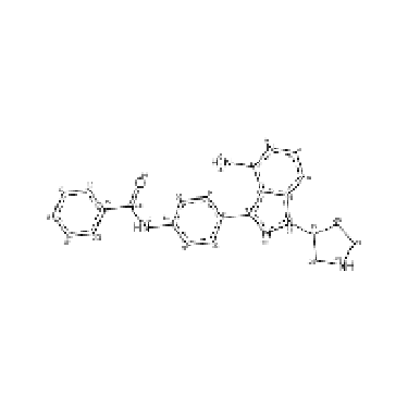 Nc1nccc2c1c(-c1ccc(NC(=O)c3ccccc3)cc1)nn2C1CCNC1